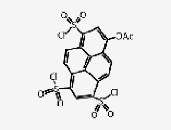 CC(=O)Oc1cc(S(=O)(=O)Cl)c2ccc3c(S(=O)(=O)Cl)cc(S(=O)(=O)Cl)c4ccc1c2c43